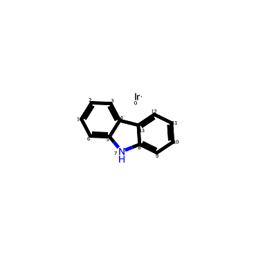 [Ir].c1ccc2c(c1)[nH]c1ccccc12